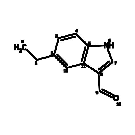 CCc1ccc2[nH]cc(C=O)c2c1